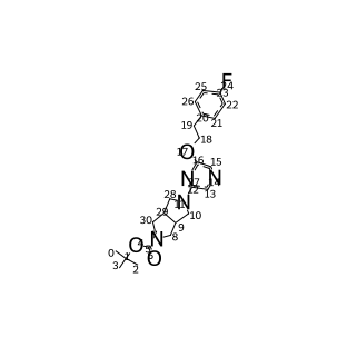 CC(C)(C)OC(=O)N1CC2CN(c3cncc(OCCc4ccc(F)cc4)n3)CC2C1